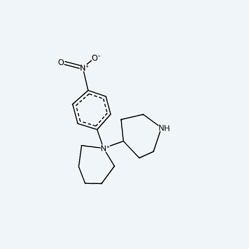 O=[N+]([O-])c1ccc([N+]2(C3CCNCC3)CCCCC2)cc1